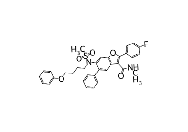 CNC(=O)c1c(-c2ccc(F)cc2)oc2cc(N(CCCCOc3ccccc3)S(C)(=O)=O)c(-c3ccccc3)cc12